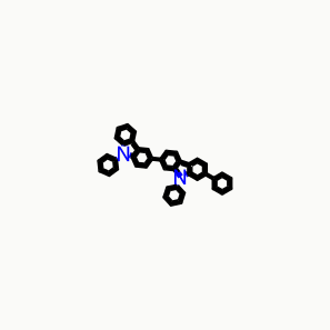 c1ccc(-c2ccc3c4ccc(-c5ccc6c(c5)c5ccccc5n6-c5ccccc5)cc4n(-c4ccccc4)c3c2)cc1